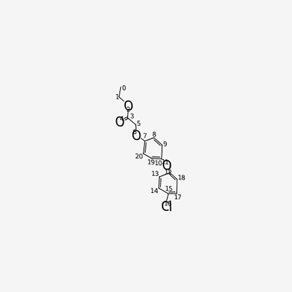 CCOC(=O)COc1ccc(Oc2ccc(Cl)cc2)cc1